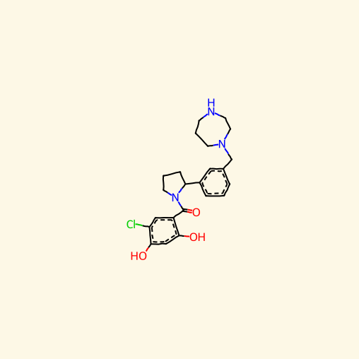 O=C(c1cc(Cl)c(O)cc1O)N1CCCC1c1cccc(CN2CCCNCC2)c1